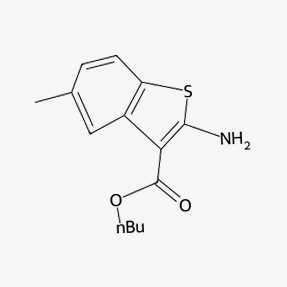 CCCCOC(=O)c1c(N)sc2ccc(C)cc12